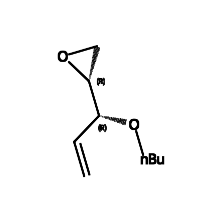 C=C[C@@H](OCCCC)[C@H]1CO1